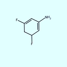 NC1=CC(F)CC(F)=C1